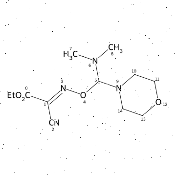 CCOC(=O)C(C#N)=NO[C](N(C)C)N1CCOCC1